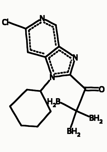 BC(B)(B)C(=O)c1nc2cnc(Cl)cc2n1C1CCCCC1